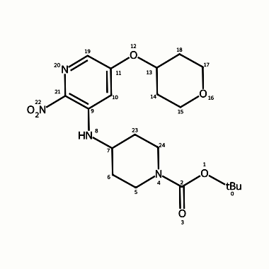 CC(C)(C)OC(=O)N1CCC(Nc2cc(OC3CCOCC3)cnc2[N+](=O)[O-])CC1